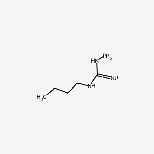 CCCCNC(=N)NP